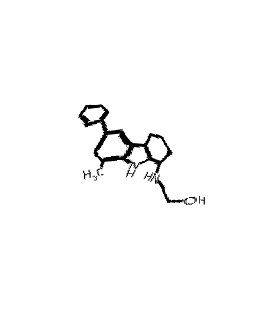 Cc1cc(-c2ccccc2)cc2c3c([nH]c12)C(NCCO)CCC3